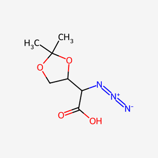 CC1(C)OCC(C(N=[N+]=[N-])C(=O)O)O1